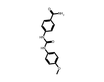 COc1ccc(NC(=O)Nc2ccc(C(N)=O)cc2)cc1